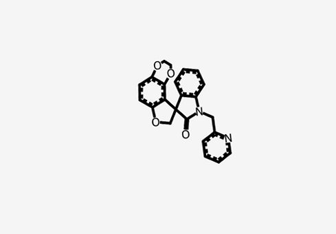 O=C1N(Cc2ccccn2)c2ccccc2C12COc1ccc3c(c12)OCCO3